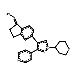 ON=C1CCc2cc(-c3cn(C4CCOCC4)nc3-c3ccncc3)ccc21